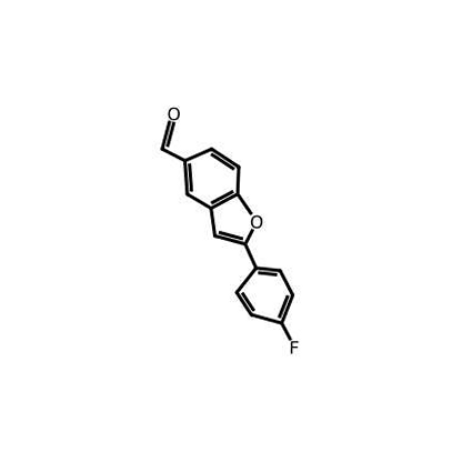 O=Cc1ccc2oc(-c3ccc(F)cc3)cc2c1